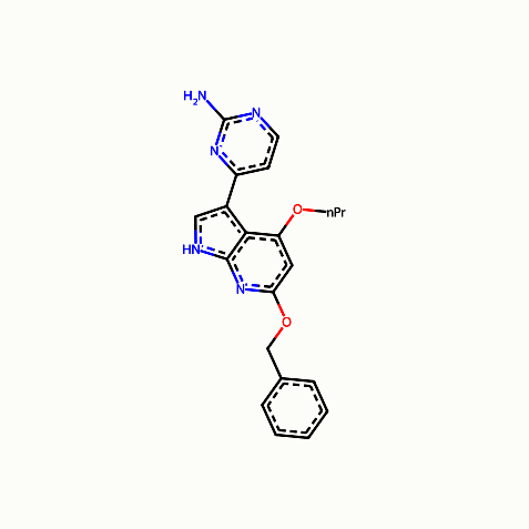 CCCOc1cc(OCc2ccccc2)nc2[nH]cc(-c3ccnc(N)n3)c12